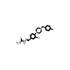 NC(=S)N/N=C/c1ccc(N2CCN(Cc3ccc(F)cc3)CC2)c(Cl)c1